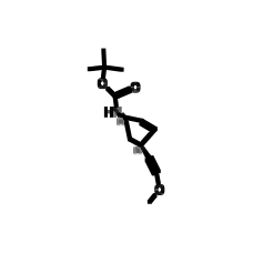 COC#C[C@@H]1C=C[C@H](NC(=O)OC(C)(C)C)C1